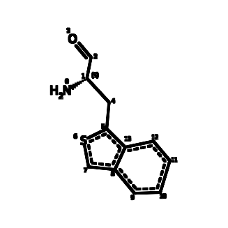 N[C@H](C=O)Cc1scc2ccccc12